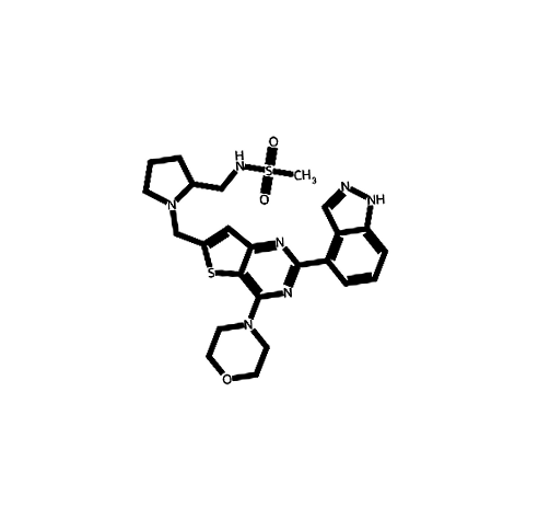 CS(=O)(=O)NCC1CCCN1Cc1cc2nc(-c3cccc4[nH]ncc34)nc(N3CCOCC3)c2s1